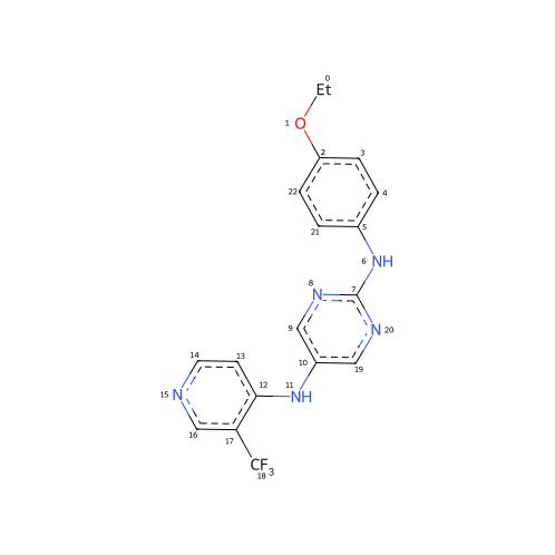 CCOc1ccc(Nc2ncc(Nc3ccncc3C(F)(F)F)cn2)cc1